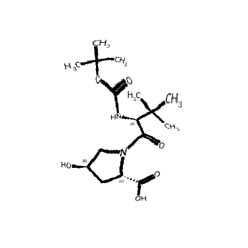 CC(C)(C)OC(=O)N[C@H](C(=O)N1C[C@H](O)C[C@H]1C(=O)O)C(C)(C)C